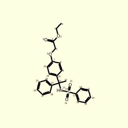 CCOC(=O)COc1ccc(C(C)(NS(=O)(=O)c2ccccc2)c2ccccc2)cc1